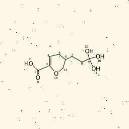 O=C(O)C1=CCC(CCC(O)(O)O)CO1